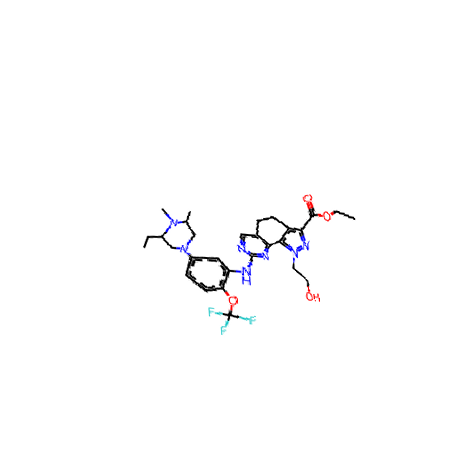 CCOC(=O)c1nn(CCO)c2c1CCc1cnc(Nc3cc(N4CC(C)N(C)C(CC)C4)ccc3OC(F)(F)F)nc1-2